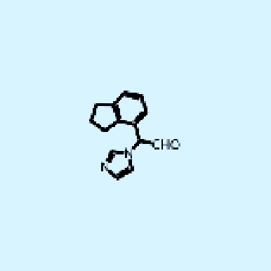 O=CC(c1cccc2c1CCC2)n1ccnc1